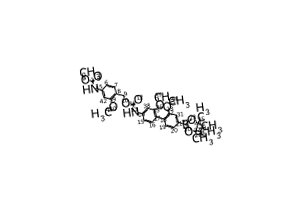 COC(=O)Nc1ccc(COC(=O)Nc2ccc(-c3ccc(B4OC(C)(C)C(C)(C)O4)cc3OC)c(OC)c2)c(OC)c1